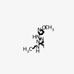 CCCNc1nc(Nc2ccc(OC)nc2)ncc1I